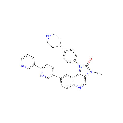 Cn1c(=O)n(-c2ccc(C3CCNCC3)cc2)c2c3cc(-c4ccc(-c5cccnc5)nc4)ccc3ncc21